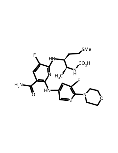 CSCC[C@H](Nc1nc(Nc2cnc(N3CCOCC3)c(F)c2)c(C(N)=O)cc1F)[C@H](C)NC(=O)O